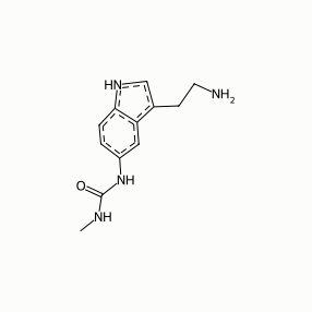 CNC(=O)Nc1ccc2[nH]cc(CCN)c2c1